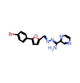 N/C(=N\N=C\c1ccc(-c2ccc(Br)cc2)o1)c1cnccn1